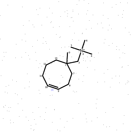 CC1(C[N+](C)(C)C)CC/C=C\CCC1